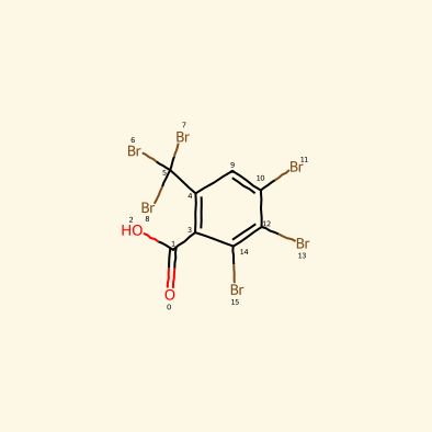 O=C(O)c1c(C(Br)(Br)Br)cc(Br)c(Br)c1Br